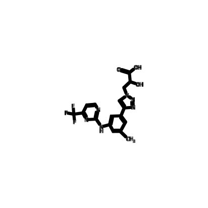 Cc1cc(Nc2nccc(C(F)(F)F)n2)cc(-c2cn(CC(O)C(=O)O)nn2)c1